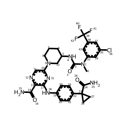 CN(C(=O)NC1CCCN(c2cnc(C(N)=O)c(Nc3ccc(C4(C(N)=O)CC4)cc3)n2)C1)c1cc(Cl)cc(C(F)(F)F)c1